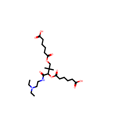 CCN(CC)CCNC(=O)C(OC(=O)CCCCC(=O)O)C(C)(C)COC(=O)CCCCC(=O)O